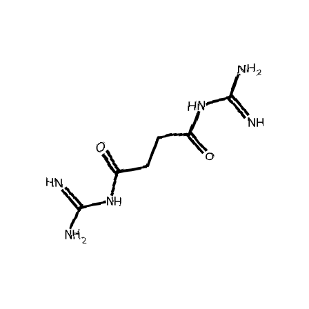 N=C(N)NC(=O)CCC(=O)NC(=N)N